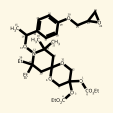 CCOC(=O)OC1(OC(=O)OCC)COC2(CC(C)(C)N(OC(C)c3ccc(OCC4CO4)cc3)C(CC)(CC)C2)OC1